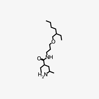 CCCCC(CC)COCCCNC(=O)C(CC)CC(C)N